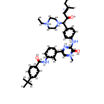 CC/C(C)=C/C(=O)C(c1ccc(Nc2nc(-c3cccc(NC(=O)c4ccc(C(C)(C)C)cc4)c3C)cn(C)c2=O)cc1)N1CCN(CC)CC1